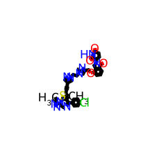 Cc1c(C#Cc2cnn(CCn3cnc(COc4cccc5c4CN(C4CCC(=O)NC4=O)C5=O)c3)c2)sc2c1C(c1ccc(Cl)cc1)=NCc1nnc(C)n1-2